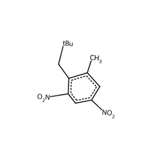 Cc1cc([N+](=O)[O-])cc([N+](=O)[O-])c1CC(C)(C)C